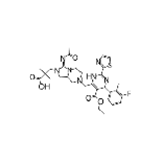 CCOC(=O)C1=C(CN2CCN3/C(=N\C(C)=O)N(CC(C)(C)C(=O)O)CC3C2)NC(c2nccs2)=NC1c1cccc(F)c1C